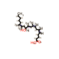 [2H]C(/C=C(\[2H])[C@@]([2H])(O)C/C([2H])=C(/[2H])CCCCC)=C(\[2H])C/C([2H])=C(/[2H])CCCC(=O)O